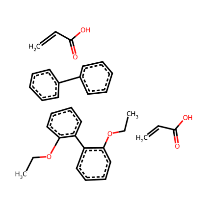 C=CC(=O)O.C=CC(=O)O.CCOc1ccccc1-c1ccccc1OCC.c1ccc(-c2ccccc2)cc1